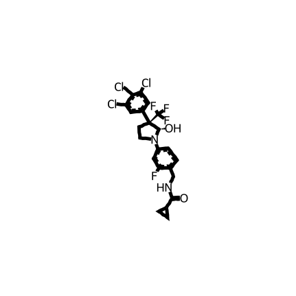 O=C(NCc1ccc(N2CC[C@@](c3cc(Cl)c(Cl)c(Cl)c3)(C(F)(F)F)[C@@H]2O)cc1F)C1CC1